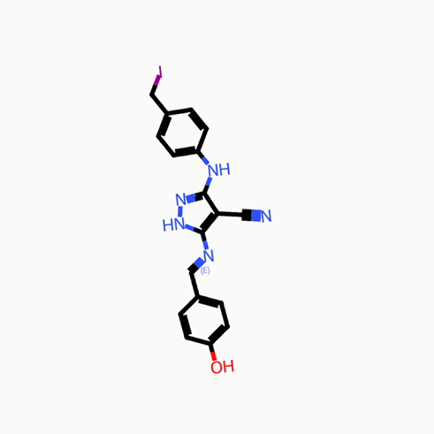 N#Cc1c(Nc2ccc(CI)cc2)n[nH]c1/N=C/c1ccc(O)cc1